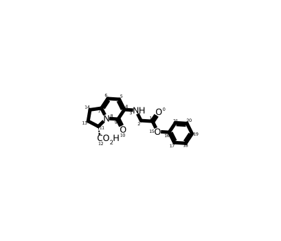 O=C(CNc1ccc2n(c1=O)[C@H](C(=O)O)CC2)Oc1ccccc1